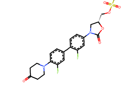 CS(=O)(=O)OC[C@H]1CN(c2ccc(-c3ccc(N4CCC(=O)CC4)c(F)c3)c(F)c2)C(=O)O1